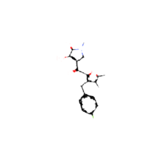 Cc1oc(C(=O)C2=C(O)C(=O)N(C)C2)c(Cc2ccc(F)cc2)c1C